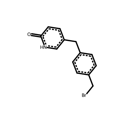 O=c1ccc(Cc2ccc(CBr)cc2)c[nH]1